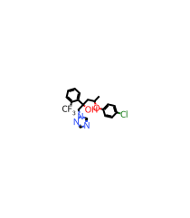 CC(CC(O)(Cn1cncn1)c1ccccc1C(F)(F)F)Oc1ccc(Cl)cc1